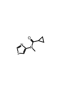 CN(C(=O)C1CC1)c1cscn1